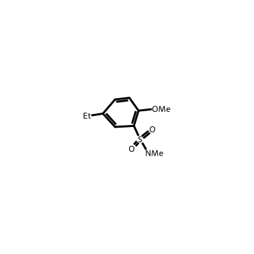 CCc1ccc(OC)c(S(=O)(=O)NC)c1